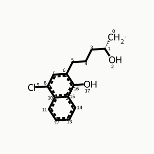 [CH2][C@H](O)CCCc1cc(Cl)c2ccccc2c1O